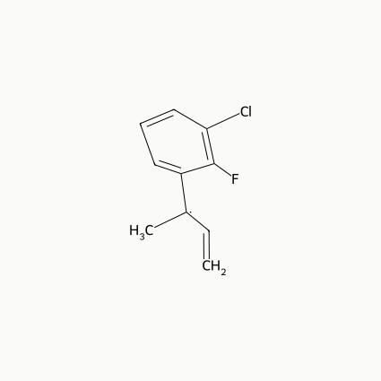 C=C[C](C)c1cccc(Cl)c1F